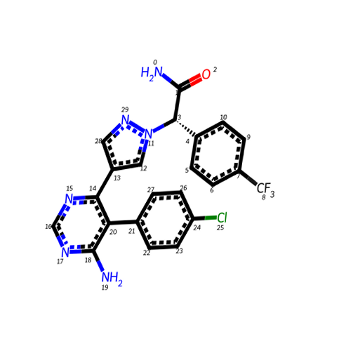 NC(=O)[C@H](c1ccc(C(F)(F)F)cc1)n1cc(-c2ncnc(N)c2-c2ccc(Cl)cc2)cn1